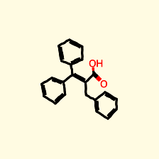 O=C(O)C(Cc1ccccc1)=C(c1ccccc1)c1ccccc1